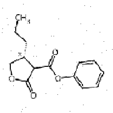 CCC[C@H]1COC(=O)C1C(=O)Oc1ccccc1